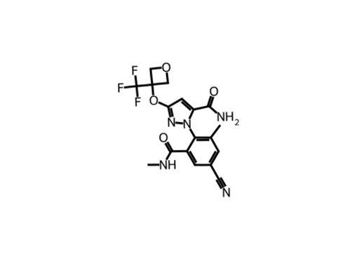 CNC(=O)c1cc(C#N)cc(C)c1-n1nc(OC2(C(F)(F)F)COC2)cc1C(N)=O